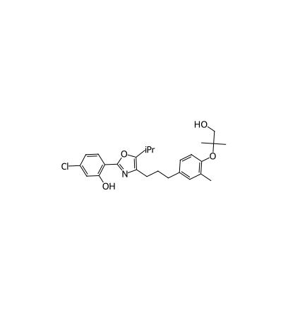 Cc1cc(CCCc2nc(-c3ccc(Cl)cc3O)oc2C(C)C)ccc1OC(C)(C)CO